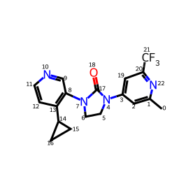 Cc1cc(N2CCN(c3cnccc3C3CC3)C2=O)cc(C(F)(F)F)n1